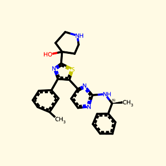 Cc1cccc(-c2nc(C3(O)CCNCC3)sc2-c2ccnc(N[C@@H](C)c3ccccc3)n2)c1